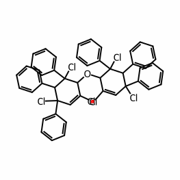 ClC1=CC(Cl)(c2ccccc2)C(c2ccccc2)C(Cl)(c2ccccc2)C1OC1C(Cl)=CC(Cl)(c2ccccc2)C(c2ccccc2)C1(Cl)c1ccccc1